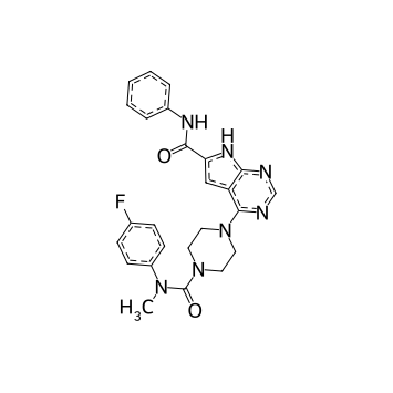 CN(C(=O)N1CCN(c2ncnc3[nH]c(C(=O)Nc4ccccc4)cc23)CC1)c1ccc(F)cc1